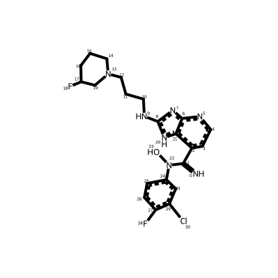 N=C(c1ccnc2nc(NCCCN3CCCC(F)C3)[nH]c12)N(O)c1ccc(F)c(Cl)c1